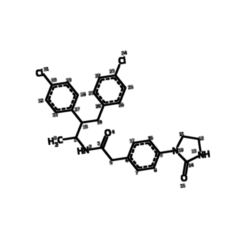 CC(NC(=O)Cc1ccc(N2CCNC2=O)cc1)C(Cc1ccc(Cl)cc1)c1ccc(Cl)cc1